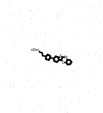 CCCCCCCCCCCCCc1ccc(-c2ccc3c(Oc4ccccc4)c(Br)sc3c2)cc1